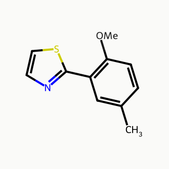 COc1ccc(C)cc1-c1nccs1